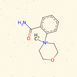 C[N+]1(c2ccccc2C(N)=O)CCOCC1